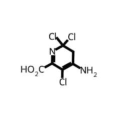 NC1=C(Cl)C(C(=O)O)=NC(Cl)(Cl)C1